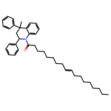 CCCCCCCCC=CCCCCCCCC(=O)N1c2ccccc2C(C)(c2ccccc2)CC1c1ccccc1